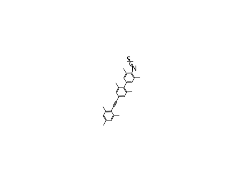 Cc1cc(C)c(C#Cc2cc(C)c(-c3cc(C)c(N=C=S)c(C)c3)c(C)c2)c(C)c1